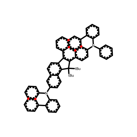 CC(C)(C)C1(C(C)(C)C)c2c(ccc3cc(N(c4ccccc4)c4ccccc4-c4ccccc4)ccc23)-c2c1c1ccc(N(c3ccccc3)c3ccccc3-c3ccccc3)cc1c1ccccc21